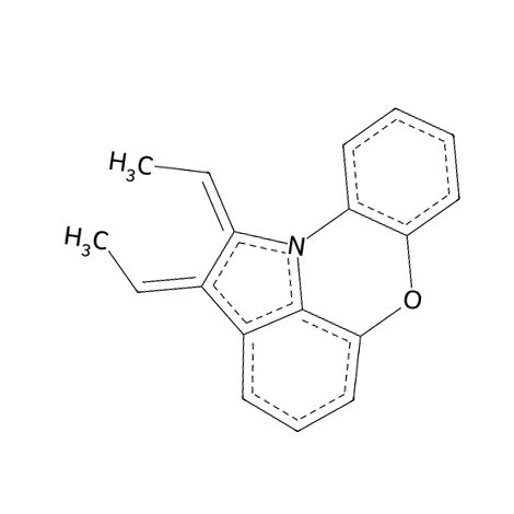 C/C=c1\c(=C/C)n2c3c(cccc13)Oc1ccccc1-2